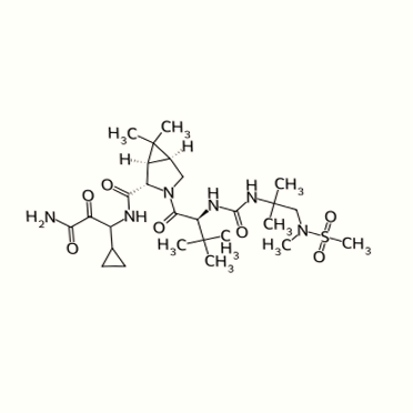 CN(CC(C)(C)NC(=O)N[C@H](C(=O)N1C[C@H]2[C@@H]([C@H]1C(=O)NC(C(=O)C(N)=O)C1CC1)C2(C)C)C(C)(C)C)S(C)(=O)=O